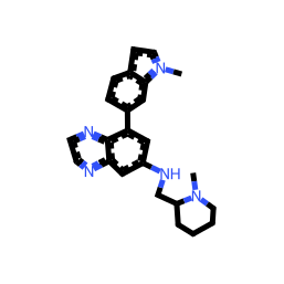 CN1CCCCC1CNc1cc(-c2ccc3ccn(C)c3c2)c2nccnc2c1